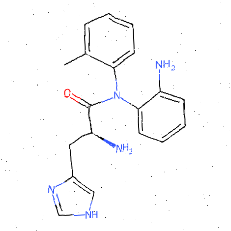 Cc1ccccc1N(C(=O)[C@@H](N)Cc1c[nH]cn1)c1ccccc1N